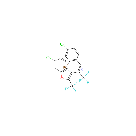 FC(F)(F)/C(=C/c1ccc(Cl)cc1Br)c1c(C(F)(F)F)oc2cc(Cl)ccc12